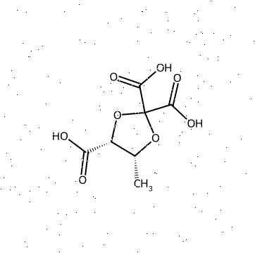 C[C@H]1OC(C(=O)O)(C(=O)O)O[C@H]1C(=O)O